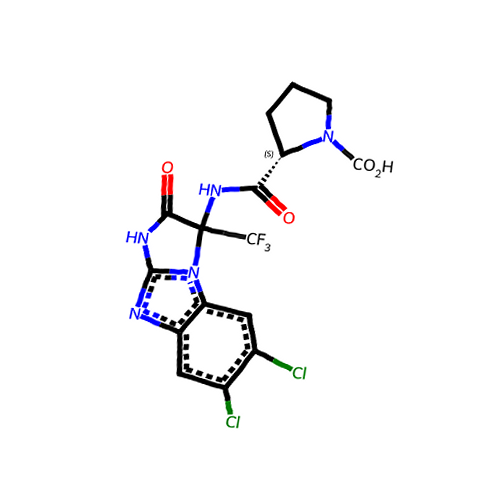 O=C(NC1(C(F)(F)F)C(=O)Nc2nc3cc(Cl)c(Cl)cc3n21)[C@@H]1CCCN1C(=O)O